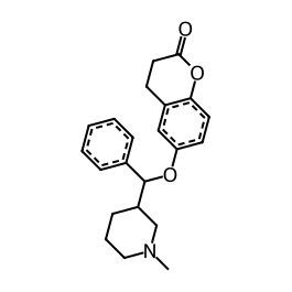 CN1CCCC(C(Oc2ccc3c(c2)CCC(=O)O3)c2ccccc2)C1